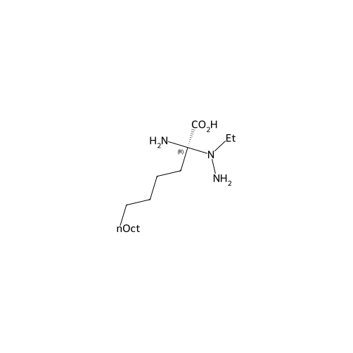 CCCCCCCCCCCC[C@](N)(C(=O)O)N(N)CC